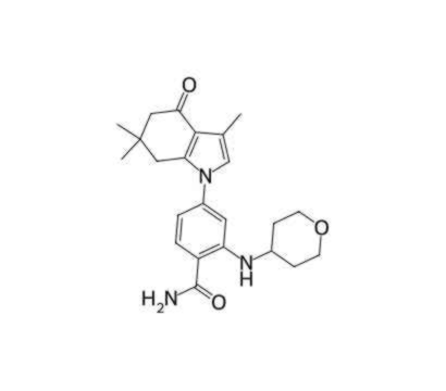 Cc1cn(-c2ccc(C(N)=O)c(NC3CCOCC3)c2)c2c1C(=O)CC(C)(C)C2